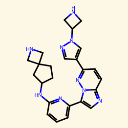 c1cc(NC2CCC3(CNC3)C2)nc(-c2cnc3ccc(-c4cnn(C5CNC5)c4)nn23)c1